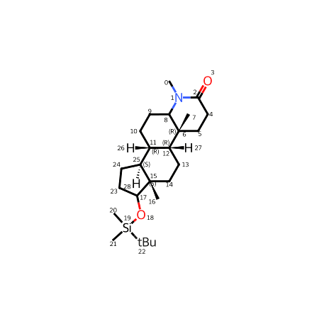 CN1C(=O)CC[C@@]2(C)C1CC[C@@H]1[C@H]2CC[C@]2(C)C(O[Si](C)(C)C(C)(C)C)CC[C@@H]12